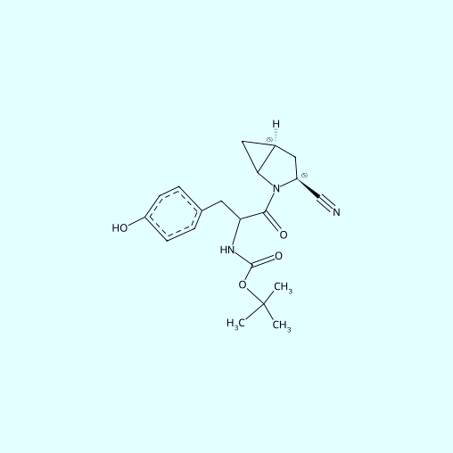 CC(C)(C)OC(=O)NC(Cc1ccc(O)cc1)C(=O)N1C2C[C@H]2C[C@H]1C#N